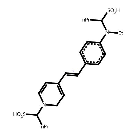 CCCC(N1C=CC(/C=C/c2ccc(N(CC)C(CCC)S(=O)(=O)O)cc2)=CC1)S(=O)(=O)O